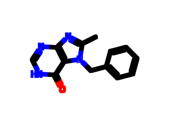 Cc1nc2nc[nH]c(=O)c2n1Cc1ccccc1